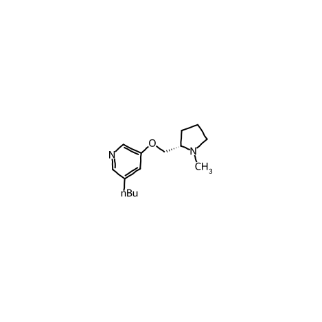 CCCCc1cncc(OC[C@@H]2CCCN2C)c1